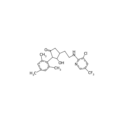 Cc1cc(C)c(C2C(=O)CC(CCNc3ncc(C(F)(F)F)cc3Cl)C2O)c(C)c1